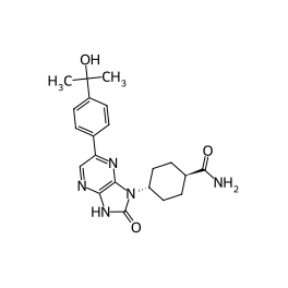 CC(C)(O)c1ccc(-c2cnc3[nH]c(=O)n([C@H]4CC[C@H](C(N)=O)CC4)c3n2)cc1